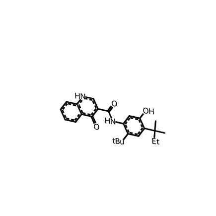 CCC(C)(C)c1cc(C(C)(C)C)c(NC(=O)c2c[nH]c3ccccc3c2=O)cc1O